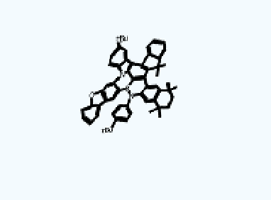 CC(C)(C)c1ccc(N2B3c4cc5c(cc4-n4c6ccc(C(C)(C)C)cc6c6c7c(c(c3c64)-c3cc4c(cc32)C(C)(C)CCC4(C)C)C(C)(C)c2ccccc2-7)oc2ccccc25)cc1